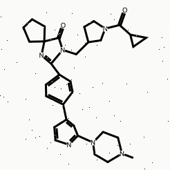 CN1CCN(c2cc(-c3ccc(C4=NC5(CCCC5)C(=O)N4CC4CCN(C(=O)C5CC5)C4)cc3)ccn2)CC1